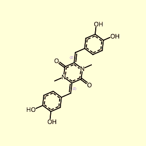 Cn1c(=O)/c(=C/c2ccc(O)c(O)c2)n(C)c(=O)/c1=C/c1ccc(O)c(O)c1